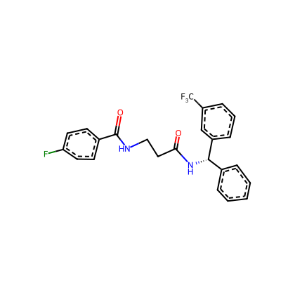 O=C(CCNC(=O)c1ccc(F)cc1)N[C@@H](c1ccccc1)c1cccc(C(F)(F)F)c1